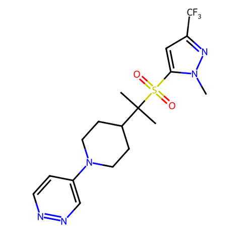 Cn1nc(C(F)(F)F)cc1S(=O)(=O)C(C)(C)C1CCN(c2ccnnc2)CC1